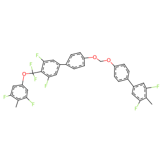 Cc1c(F)cc(OC(F)(F)c2c(F)cc(-c3ccc(OCOc4ccc(-c5cc(F)c(C)c(F)c5)cc4)cc3)cc2F)cc1F